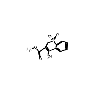 COC(=O)C1=C(O)c2ccccc2S(=O)(=O)C1